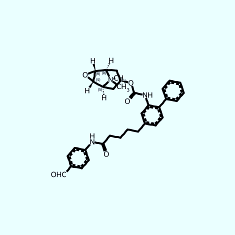 C[N+]1(C)[C@@H]2C[C@@H](OC(=O)Nc3cc(CCCCC(=O)Nc4ccc(C=O)cc4)ccc3-c3ccccc3)C[C@H]1[C@@H]1O[C@@H]12